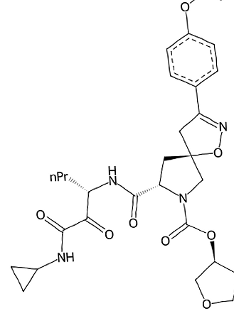 CCC[C@H](NC(=O)[C@@H]1C[C@]2(CC(c3ccc(OC(F)(F)F)cc3)=NO2)CN1C(=O)O[C@H]1CCOC1)C(=O)C(=O)NC1CC1